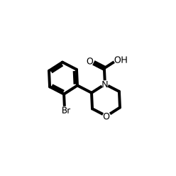 O=C(O)N1CCOCC1c1ccccc1Br